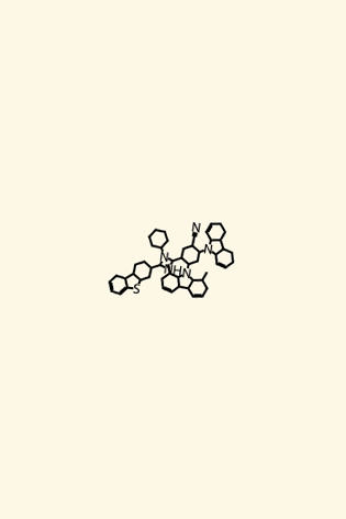 CC1CC=CC2C3C=CCC(C)C3N(C3CC(N4C5C=CCCC5C5CCC=CC54)C(C#N)CC3C3NC(C4CCC5C(C4)SC4=CC=CCC45)N3C3CCCCC3)C12